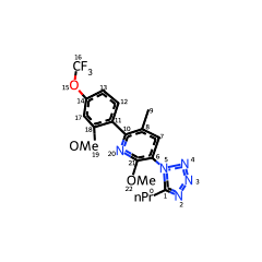 CCCc1nnnn1-c1cc(C)c(-c2ccc(OC(F)(F)F)cc2OC)nc1OC